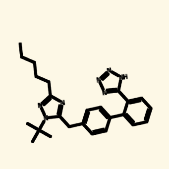 CCCCCc1nc(Cc2ccc(-c3ccccc3-c3nnn[nH]3)cc2)n(C(C)(C)C)n1